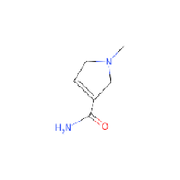 CN1CC=C(C(N)=O)C1